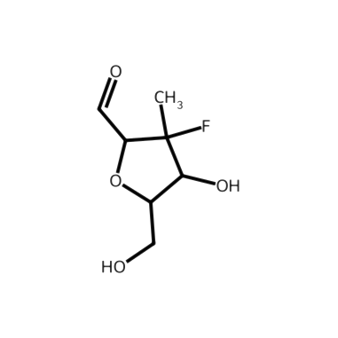 CC1(F)C(C=O)OC(CO)C1O